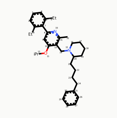 CCc1cccc(CC)c1-c1cc(OC(C)C)c(CN2CCCCC2CCCCc2ccccc2)c(C)n1